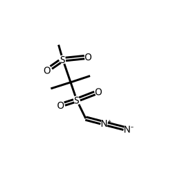 CC(C)(S(C)(=O)=O)S(=O)(=O)C=[N+]=[N-]